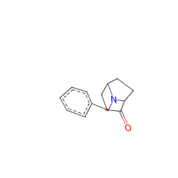 O=C1CCC2CCC1N2Cc1ccccc1